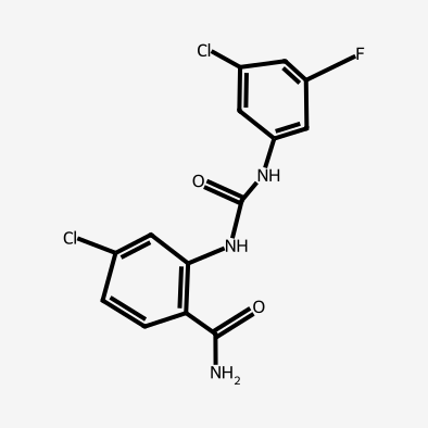 NC(=O)c1ccc(Cl)cc1NC(=O)Nc1cc(F)cc(Cl)c1